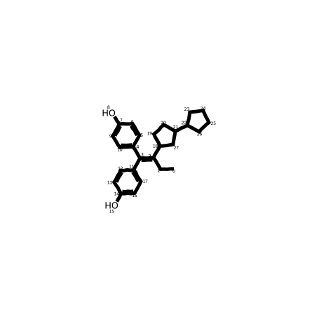 CCC(=C(c1ccc(O)cc1)c1ccc(O)cc1)C1CCC(C2CCCC2)C1